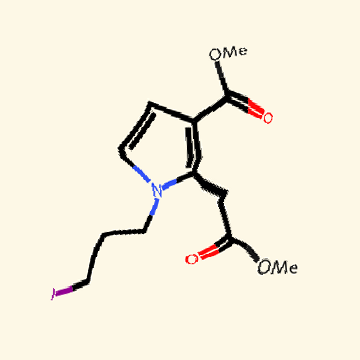 COC(=O)Cc1c(C(=O)OC)ccn1CCCI